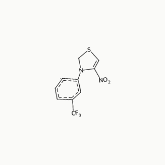 O=[N+]([O-])C1=CSCN1c1[c]ccc(C(F)(F)F)c1